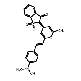 CC1=C/C(=C2\C(=O)c3ccccc3S2(=O)=O)C=C(C=Cc2ccc(N(C)C)cc2)O1